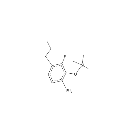 Bc1ccc(CCC)c(F)c1O[Si](C)(C)C